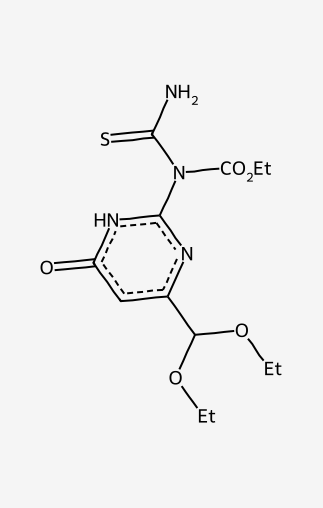 CCOC(=O)N(C(N)=S)c1nc(C(OCC)OCC)cc(=O)[nH]1